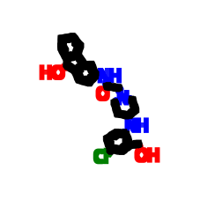 O=C(CN1CCC(Nc2ccc(Cl)cc2CO)CC1)Nc1ccc2c(c1)-c1ccccc1C2O